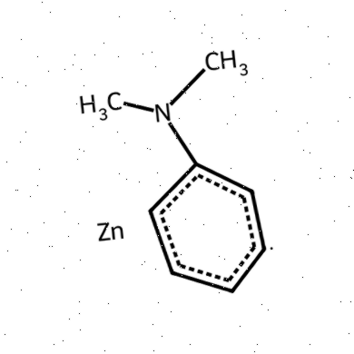 CN(C)c1c[c]ccc1.[Zn]